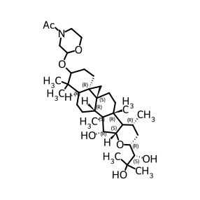 CC(=O)N1CCOC(OC2CC[C@]34C[C@]35CC[C@]3(C)C6[C@H](C)C[C@H]([C@H](O)C(C)(C)O)O[C@@H]6[C@H](O)[C@@]3(C)[C@@H]5CC[C@H]4C2(C)C)C1